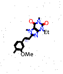 CCn1c(=O)n(C)c(=O)c2c1nc(/C=C/c1ccc(C)c(OC)c1)n2C